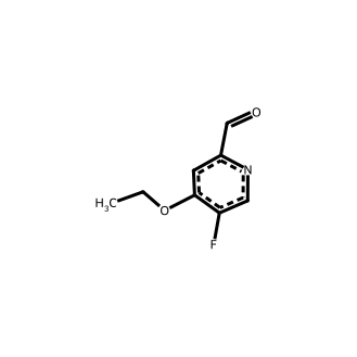 CCOc1cc(C=O)ncc1F